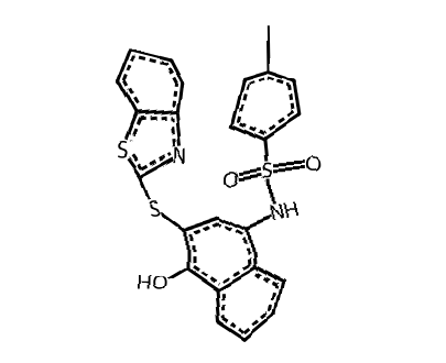 Cc1ccc(S(=O)(=O)Nc2cc(Sc3nc4ccccc4s3)c(O)c3ccccc23)cc1